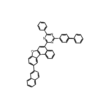 c1ccc(-c2ccc(-c3nc(-c4ccccc4)nc(-c4cc5oc6ccc(-c7ccc8ccccc8c7)cc6c5c5ccccc45)n3)cc2)cc1